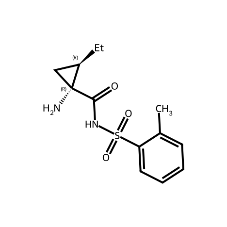 CC[C@@H]1C[C@]1(N)C(=O)NS(=O)(=O)c1ccccc1C